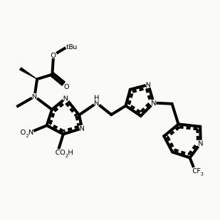 C[C@@H](C(=O)OC(C)(C)C)N(C)c1nc(NCc2cnn(Cc3ccc(C(F)(F)F)nc3)c2)nc(C(=O)O)c1[N+](=O)[O-]